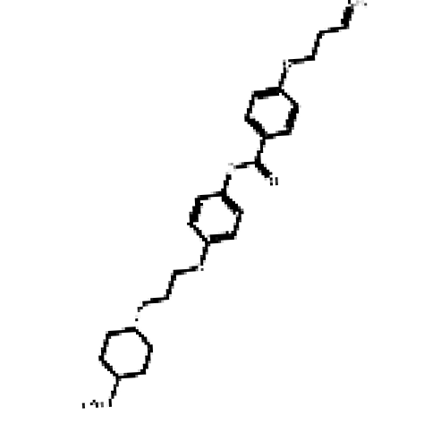 C=CCCOc1ccc(C(=O)Oc2ccc(OCCC[C@H]3CC[C@H](CCCCC)CC3)cc2)cc1